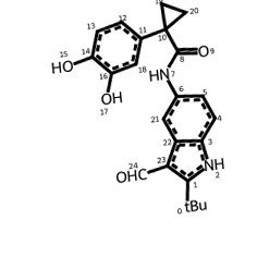 CC(C)(C)c1[nH]c2ccc(NC(=O)C3(c4ccc(O)c(O)c4)CC3)cc2c1C=O